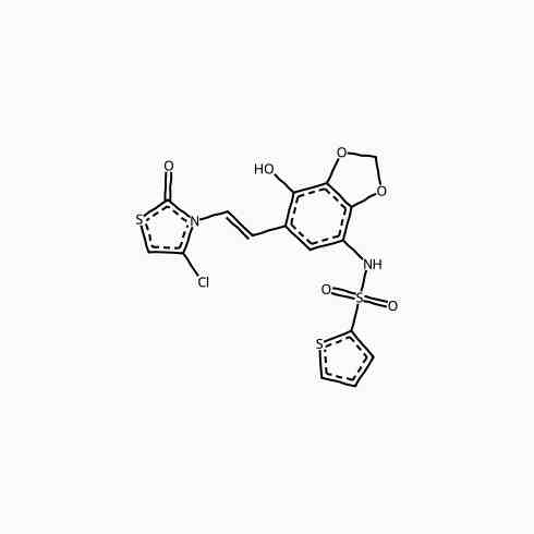 O=c1scc(Cl)n1C=Cc1cc(NS(=O)(=O)c2cccs2)c2c(c1O)OCO2